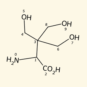 NC(C(=O)O)C(CO)(CO)CO